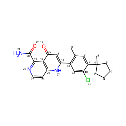 Cc1cc(C2(C)CCCC2)c(Cl)cc1-c1cc(=O)c2c(C(N)=O)nccc2[nH]1